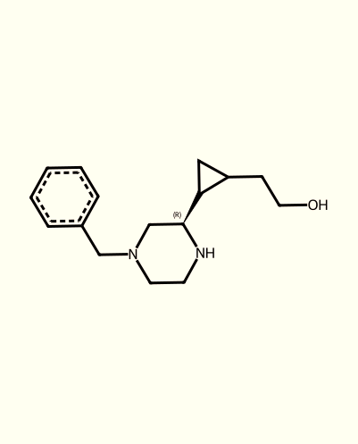 OCCC1CC1[C@@H]1CN(Cc2ccccc2)CCN1